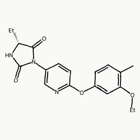 CCOc1cc(Oc2ccc(N3C(=O)N[C@H](CC)C3=O)cn2)ccc1C